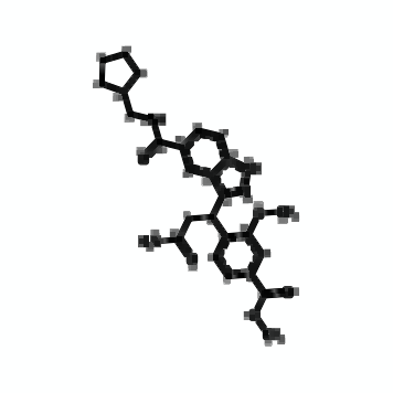 COC(=O)c1ccc(C(CC(N)=O)c2n[nH]c3ccc(C(=O)NCC4CCCC4)cc23)c(OC)c1